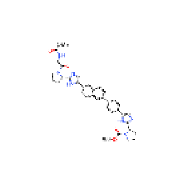 COC(=O)NCC(=O)N1CCC[C@H]1c1ncc(-c2ccc3cc(-c4ccc(-c5cnc(C6CCCN6C(=O)OC(C)(C)C)[nH]5)cc4)ccc3c2)[nH]1